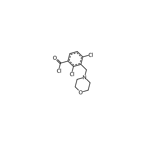 O=C(Cl)c1ccc(Cl)c(CN2CCOCC2)c1Cl